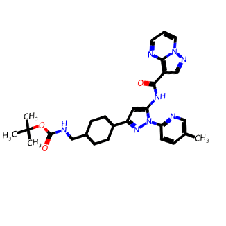 Cc1ccc(-n2nc(C3CCC(CNC(=O)OC(C)(C)C)CC3)cc2NC(=O)c2cnn3cccnc23)nc1